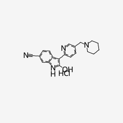 Cl.N#Cc1ccc2c(-c3ccc(CN4CCCCC4)cn3)c(O)[nH]c2c1